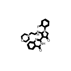 O=C1CN(c2ccccc2F)C(NCCN2CCOCC2)=C1c1nc2ccccc2c(=O)[nH]1